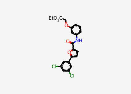 CCOC(=O)COc1cccc(NC(=O)c2ccc(-c3cc(Cl)cc(Cl)c3)o2)c1